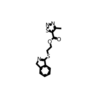 Cc1nnsc1C(=O)OCCSC1=NCc2ccccc21